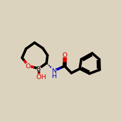 O=C(Cc1ccccc1)N[C@H]1CCCCCOB1O